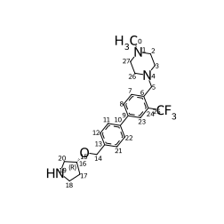 CN1CCN(Cc2ccc(-c3ccc(CO[C@@H]4CCNC4)cc3)cc2C(F)(F)F)CC1